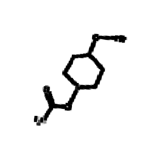 CCCOC1CCN(OC(=O)C(F)(F)F)CC1